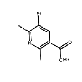 CCc1cc(C(=O)OC)c(C)nc1C